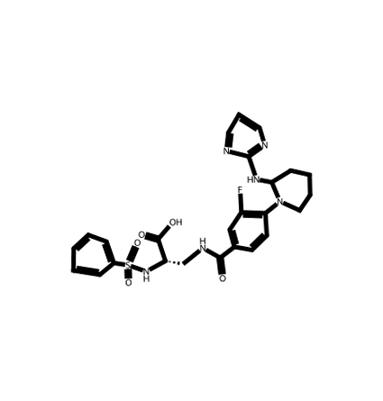 O=C(NC[C@H](NS(=O)(=O)c1ccccc1)C(=O)O)c1ccc(N2CCCCC2Nc2ncccn2)c(F)c1